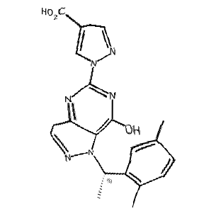 Cc1ccc(C)c([C@H](C)n2ncc3nc(-n4cc(C(=O)O)cn4)nc(O)c32)c1